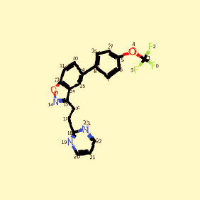 FC(F)(F)Oc1ccc(-c2ccc3onc(CCc4ncccn4)c3c2)cc1